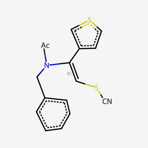 CC(=O)N(Cc1ccccc1)/C(=C/SC#N)c1ccsc1